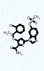 C[C@@H](Oc1cc(-n2cnc3ccc(OS(C)(=O)=O)cc32)sc1C(N)=O)c1ccccc1Cl